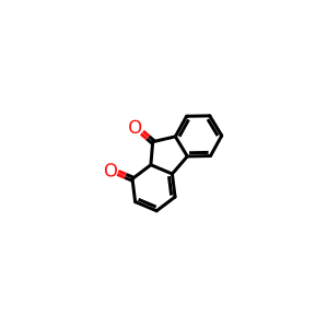 O=C1C=CC=C2c3ccccc3C(=O)C12